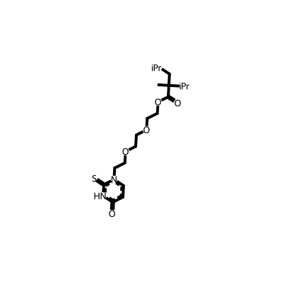 CC(C)CC(C)(C(=O)OCCOCCOCCn1ccc(=O)[nH]c1=S)C(C)C